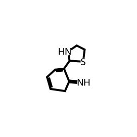 N=C1CC=CC=C1C1NCCS1